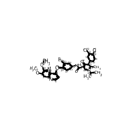 COc1cc2nccc(Oc3ccc(NC(=O)c4cn(C(C)C)c(C)c(-c5ccc(Cl)c(Cl)c5)c4=O)cc3F)c2nc1OC